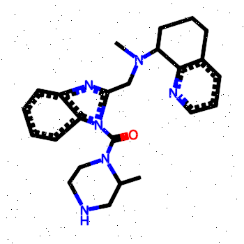 CC1CNCCN1C(=O)n1c(CN(C)C2CCCc3cccnc32)nc2ccccc21